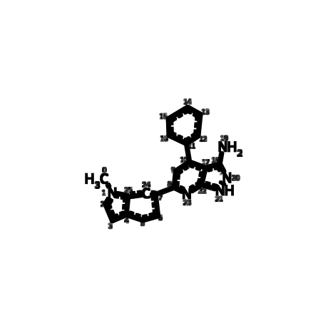 Cn1ccc2ccc(-c3cc(-c4ccccc4)c4c(N)n[nH]c4n3)cc21